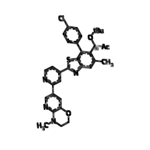 CC(=O)[C@@H](OC(C)(C)C)c1c(C)cc2nc(-c3ccnc(-c4cnc5c(c4)OCCN5C)c3)sc2c1-c1ccc(Cl)cc1